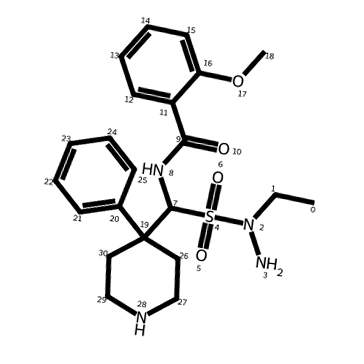 CCN(N)S(=O)(=O)C(NC(=O)c1ccccc1OC)C1(c2ccccc2)CCNCC1